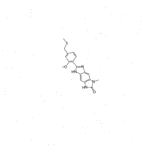 COc1cc(CSC)ccc1-c1nc2cc3c(cc2[nH]1)[nH]c(=O)n3C